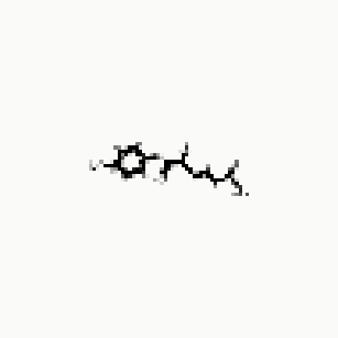 CCC(Br)CCCC(Br)C(=O)Oc1ccc(C#N)cc1